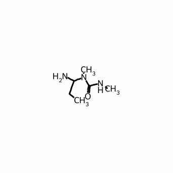 CCC(N)N(C)C(=O)NC